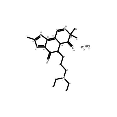 CCN(CC)CCCC1C(=O)C2=NC(C)=NC2=C2C=NC(C)(C)C(=O)C21.Cl.Cl